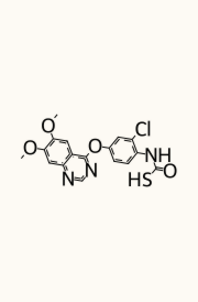 COc1cc2ncnc(Oc3ccc(NC(=O)S)c(Cl)c3)c2cc1OC